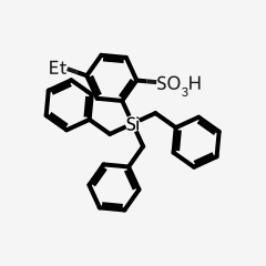 CCc1ccc(S(=O)(=O)O)c([Si](Cc2ccccc2)(Cc2ccccc2)Cc2ccccc2)c1